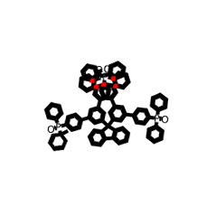 CC1(P(=O)(c2ccccc2)c2ccc(-c3cc(-c4ccc(P(=O)(c5ccccc5)c5ccccc5)cc4)cc(C4(c5cc(-c6ccc(P(=O)(c7ccccc7)c7ccccc7)cc6)cc(-c6ccc(P(=O)(c7ccccc7)c7ccccc7)cc6)c5)c5ccccc5-c5ccccc54)c3)cc2)C=CC=CC1